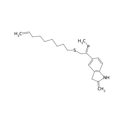 C=CCCCCCCCSC/C(=P\C)c1ccc2c(c1)CC(=C)N2